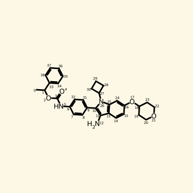 CC(OC(=O)Nc1ccc(-c2c(N)c3ccc(OC4CCOCC4)cc3n2C2CCC2)cc1)c1ccccc1